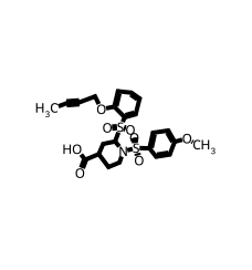 CC#CCOc1ccccc1S(=O)(=O)C1CC(C(=O)O)CCN1S(=O)(=O)c1ccc(OC)cc1